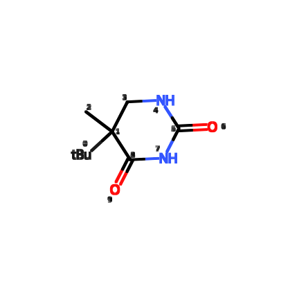 CC(C)(C)C1(C)CNC(=O)NC1=O